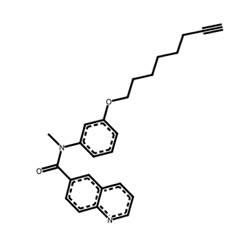 C#CCCCCCCOc1cccc(N(C)C(=O)c2ccc3ncccc3c2)c1